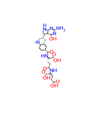 CN(CCc1c[nH]c2nc(N)nc(O)c12)c1ccc(C(=O)N[C@@H](CCC(=O)N[C@@H](CCC(=O)O)C(=O)O)C(=O)O)cc1F